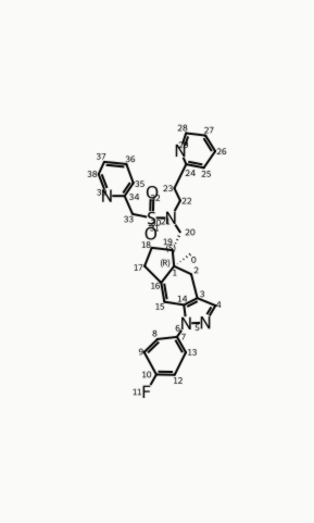 C[C@]12Cc3cnn(-c4ccc(F)cc4)c3C=C1CC[C@@H]2CN(CCc1ccccn1)S(=O)(=O)Cc1ccccn1